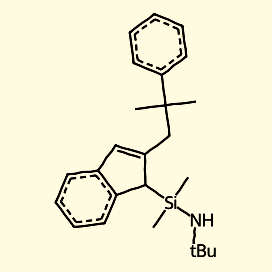 CC(C)(C)N[Si](C)(C)C1C(CC(C)(C)c2ccccc2)=Cc2ccccc21